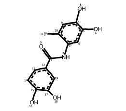 O=C(Nc1cc(O)c(O)cc1F)c1ccc(O)c(O)c1